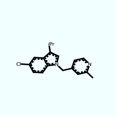 Cc1cc(Cn2cc(C(C)C)c3cc(Cl)ccc32)ccn1